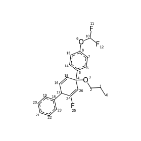 CCCOC1(c2ccc(OC(F)F)cc2)C=CC(c2ccccc2)C(F)=C1